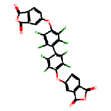 O=C1OC(=O)c2cc(Oc3c(F)c(F)c(-c4c(F)c(F)c(Oc5ccc6c(c5)C(=O)OC6=O)c(F)c4F)c(F)c3F)ccc21